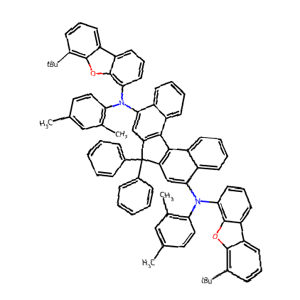 Cc1ccc(N(c2cc3c(c4ccccc24)-c2c(cc(N(c4ccc(C)cc4C)c4cccc5c4oc4c(C(C)(C)C)cccc45)c4ccccc24)C3(c2ccccc2)c2ccccc2)c2cccc3c2oc2c(C(C)(C)C)cccc23)c(C)c1